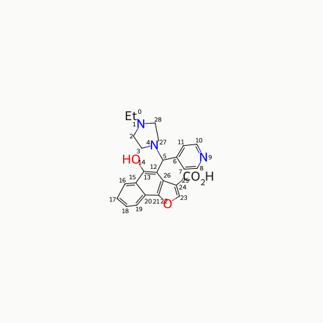 CCN1CCN(C(c2ccncc2)c2c(O)c3ccccc3c3occ(C(=O)O)c23)CC1